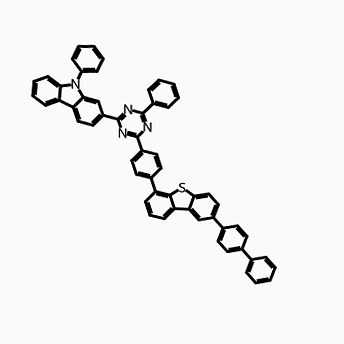 c1ccc(-c2ccc(-c3ccc4sc5c(-c6ccc(-c7nc(-c8ccccc8)nc(-c8ccc9c%10ccccc%10n(-c%10ccccc%10)c9c8)n7)cc6)cccc5c4c3)cc2)cc1